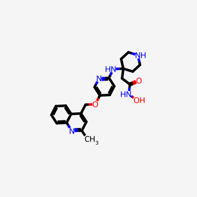 Cc1cc(COc2ccc(NC3(CC(=O)NO)CCNCC3)nc2)c2ccccc2n1